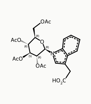 CC(=O)OC[C@H]1O[C@@H](n2cc(CC(=O)O)c3ccccc32)[C@H](OC(C)=O)[C@@H](OC(C)=O)[C@@H]1OC(C)=O